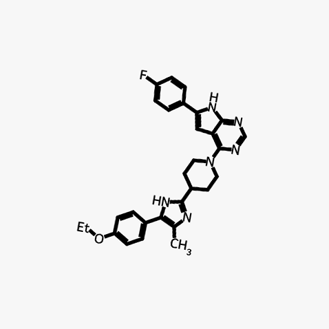 CCOc1ccc(-c2[nH]c(C3CCN(c4ncnc5[nH]c(-c6ccc(F)cc6)cc45)CC3)nc2C)cc1